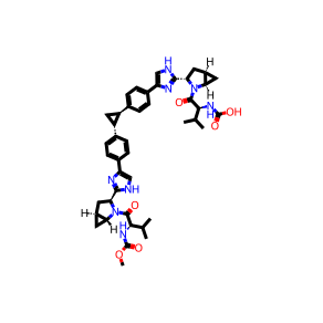 COC(=O)N[C@H](C(=O)N1[C@@H]2C[C@H]2C[C@H]1c1nc(-c2ccc([C@@H]3C[C@H]3c3ccc(-c4c[nH]c([C@@H]5C[C@H]6C[C@H]6N5C(=O)[C@@H](NC(=O)O)C(C)C)n4)cc3)cc2)c[nH]1)C(C)C